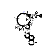 C[C@H]1CC/C=C\[C@@H]2C[C@@]2(C(=O)NS(=O)(=O)C2CC2)NC(=O)[C@@H]2C[C@@H](Oc3nccc4c5c(ccc34)N(C)CCO5)CN2C(=O)[C@@H](NC(=O)O)[C@H](C)C1